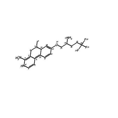 CN1CC2=C(N)NC=CC2=C2C=CC(OCC(N)CCC(F)(F)F)=CC21